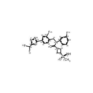 CS(=N)(=O)C1CN(C(=O)N(Cc2ccc(-c3nnc(C(F)F)o3)cc2F)c2cccc(F)c2)C1